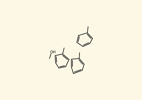 CO.Cc1ccccc1.Cc1ccccc1.Cc1ccccc1